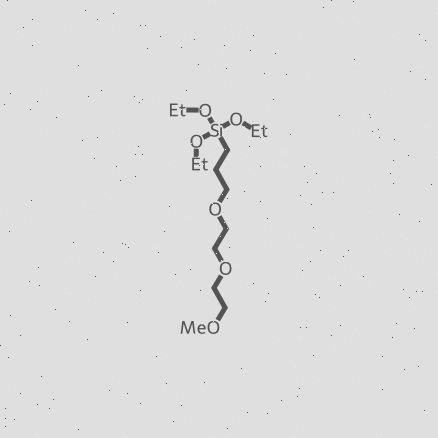 CCO[Si](CCCOCCOCCOC)(OCC)OCC